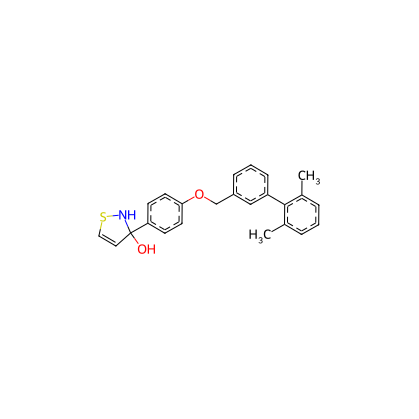 Cc1cccc(C)c1-c1cccc(COc2ccc(C3(O)C=CSN3)cc2)c1